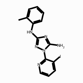 Cc1ccccc1Nc1nc(N)n(-c2ncccc2I)n1